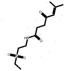 CCS(=O)(=O)CCNC(=O)CCC(=O)C=C(C)C